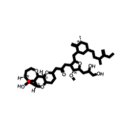 C=C(CC)C(C)CCC1CC(CC2OC(CC(O)CO)[C@H](OC)C2CC(=O)CC2CCC3O[C@@H]4C5O[C@H](CCOC5[C@H]3O2)C4O)C(=C)[C@H](C)C1